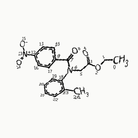 CCOC(=O)CN(C(=O)c1ccc([N+](=O)[O-])cc1)c1ccccc1C